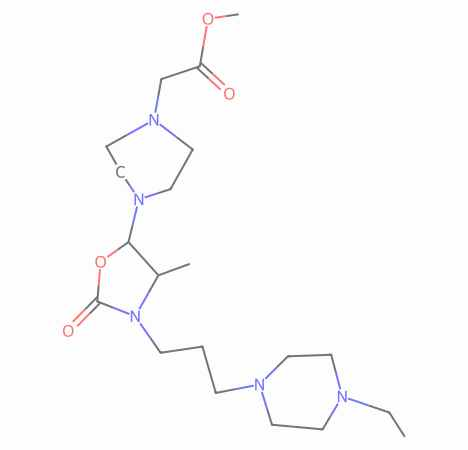 CCN1CCN(CCCN2C(=O)OC(N3CCN(CC(=O)OC)CC3)C2C)CC1